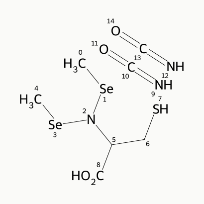 C[Se]N([Se]C)C(CS)C(=O)O.N=C=O.N=C=O